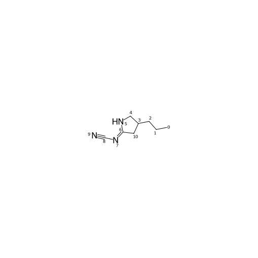 CCCC1CN/C(=N\C#N)C1